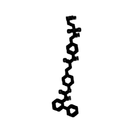 CNCCS(=O)(=O)NCc1ccc(NC(=O)CCN2CCC(OC(=O)Nc3ccccc3-c3ccccc3)CC2)cc1